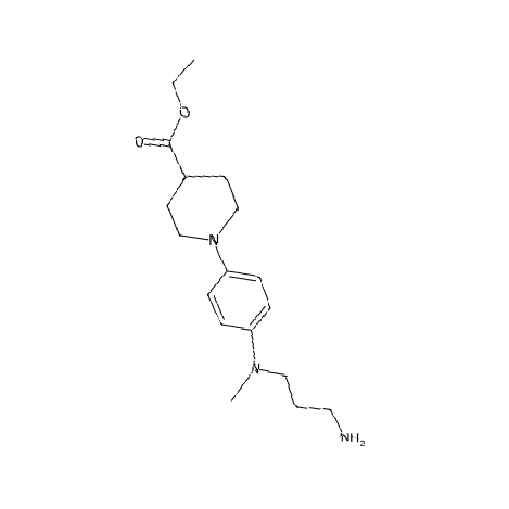 CCOC(=O)C1CCN(c2ccc(N(C)CCCN)cc2)CC1